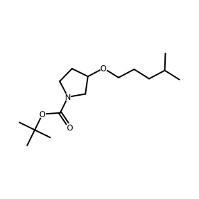 CC(C)CCCOC1CCN(C(=O)OC(C)(C)C)C1